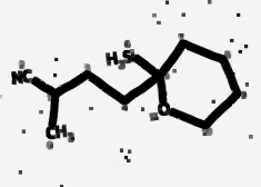 CC(C#N)CCC1([SiH3])CCCCO1